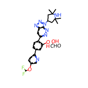 CC1(C)CC(n2nnc3cc(-c4ccc(-c5ccc(OC(F)F)cn5)cc4O)nnc32)CC(C)(C)N1.O=CO